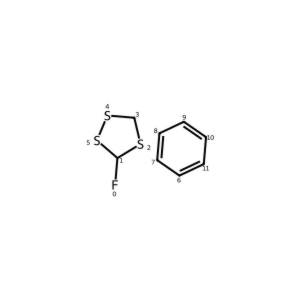 FC1SCSS1.c1ccccc1